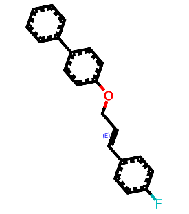 Fc1ccc(/C=C/COc2ccc(-c3ccccc3)cc2)cc1